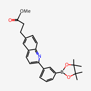 COC(=O)CCc1ccc2nc(-c3cccc(B4OC(C)(C)C(C)(C)O4)c3)ccc2c1